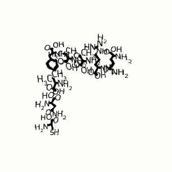 CC(C)C(N)C(=O)O.CC(C)C(N)C(=O)O.CC(C)C(N)C(=O)O.N=C(N)NCCCC(N)C(=O)O.NC(=O)CC(N)C(=O)O.NC(=O)CCC(N)C(=O)O.NC(CS)C(=O)O.NC(Cc1ccccc1)C(=O)O